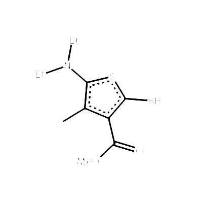 Bc1sc(N(CC)CC)c(C)c1C(=O)OC